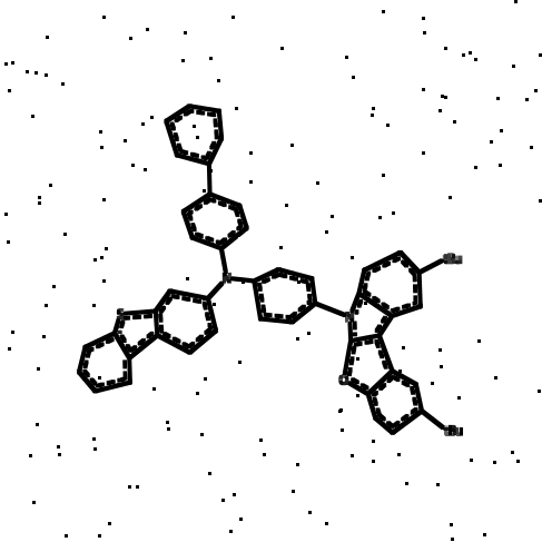 CC(C)(C)c1ccc2oc3c(c2c1)c1cc(C(C)(C)C)ccc1n3-c1ccc(N(c2ccc(-c3ccccc3)cc2)c2ccc3c(c2)sc2ccccc23)cc1